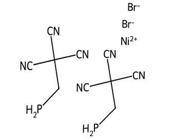 N#CC(C#N)(C#N)CP.N#CC(C#N)(C#N)CP.[Br-].[Br-].[Ni+2]